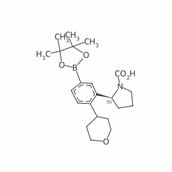 CC1(C)OB(c2ccc(C3CCOCC3)c([C@@H]3CCCN3C(=O)O)c2)OC1(C)C